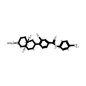 CCCCCC[C@H]1CC[C@@H]2CC(c3ccc(C(=O)Oc4ccc(C(F)(F)F)cc4)cc3F)CC[C@H]2C1